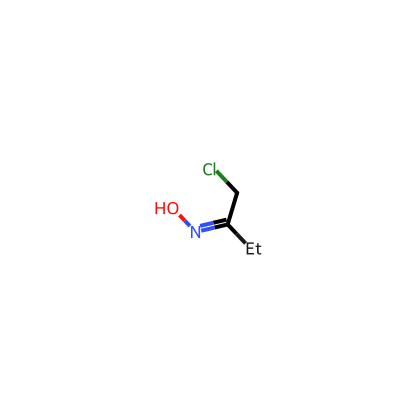 CCC(CCl)=NO